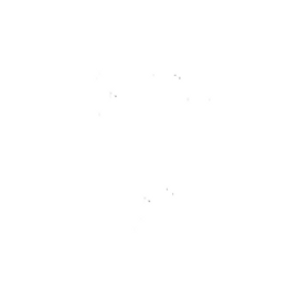 CN(C(=O)c1ccc2c(cnn2C)c1)C1CCC(=O)NC1=O